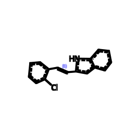 Clc1ccccc1/C=C/c1cc2ccccc2[nH]1